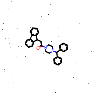 O=C(CC1c2ccccc2-c2ccccc21)N1CCN(C(c2ccccc2)c2ccccc2)CC1